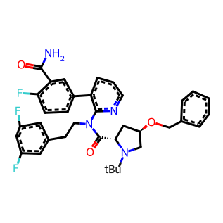 CC(C)(C)N1C[C@H](OCc2ccccc2)C[C@H]1C(=O)N(CCc1cc(F)cc(F)c1)c1ncccc1-c1ccc(F)c(C(N)=O)c1